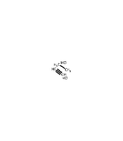 C#C.CC.Cl.Cl